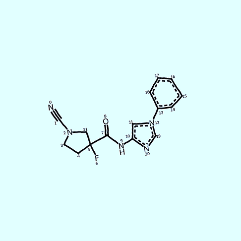 N#CN1CCC(F)(C(=O)Nc2cn(-c3ccccc3)cn2)C1